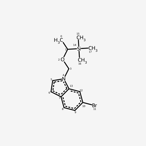 CC(OCn1ccc2ccc(Br)cc21)[Si](C)(C)C